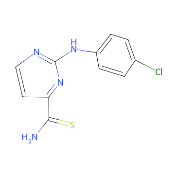 NC(=S)c1ccnc(Nc2ccc(Cl)cc2)n1